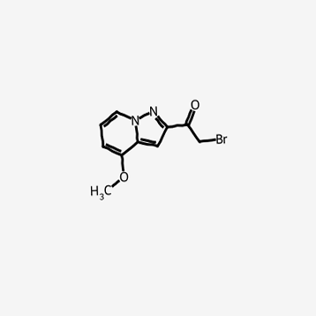 COc1cccn2nc(C(=O)CBr)cc12